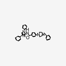 O=C(Nc1nc(-c2ccccc2)cn1-c1ccccc1)c1ccc(N2CCN(Cc3ccccc3)CC2)cc1